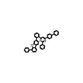 c1ccc(-c2ccc(-c3cc(-c4ccccc4-c4ccc5c(c4)oc4c(-c6ccccc6)cccc45)nc(-c4ccccc4)n3)cc2)cc1